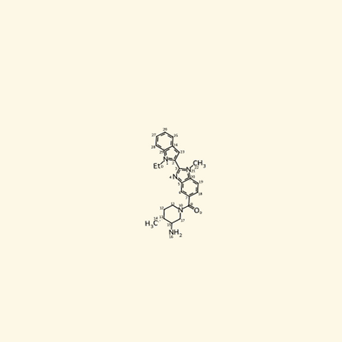 CCn1c(-c2nc3cc(C(=O)N4CC[C@@H](C)C(N)C4)ccc3n2C)cc2ccccc21